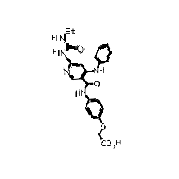 CCNC(=O)Nc1cc(Nc2ccccc2)c(C(=O)Nc2ccc(OCC(=O)O)cc2)cn1